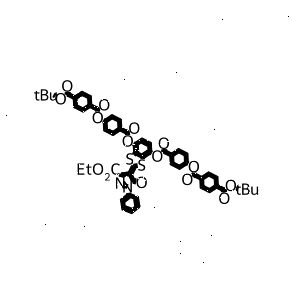 CCOC(=O)C1=NN(c2ccccc2)C(=O)C1=C1Sc2c(OC(=O)C3CCC(OC(=O)C4CCC(C(=O)OC(C)(C)C)CC4)CC3)ccc(OC(=O)C3CCC(OC(=O)C4CCC(C(=O)OC(C)(C)C)CC4)CC3)c2S1